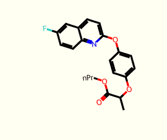 CCCOC(=O)C(C)Oc1ccc(Oc2ccc3cc(F)ccc3n2)cc1